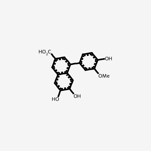 COc1cc(-c2cc(C(=O)O)cc3cc(O)c(O)cc23)ccc1O